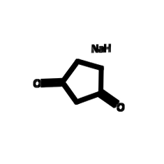 O=C1CCC(=O)C1.[NaH]